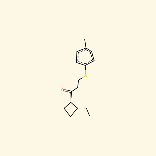 CC[C@@H]1CC[C@H]1C(=O)CCSc1ccc(C)cc1